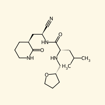 CC(C)C[C@H](NC[C@@H]1CCCO1)C(=O)N[C@H](C#N)C[C@@H]1CCCNC1=O